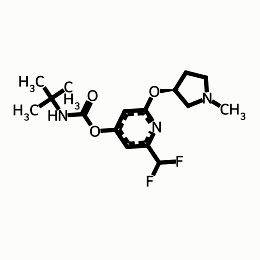 CN1CC[C@H](Oc2cc(OC(=O)NC(C)(C)C)cc(C(F)F)n2)C1